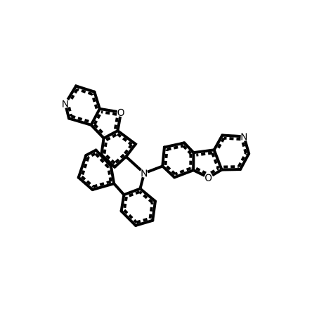 c1ccc(-c2ccccc2N(c2ccc3c(c2)oc2ccncc23)c2ccc3c(c2)oc2ccncc23)cc1